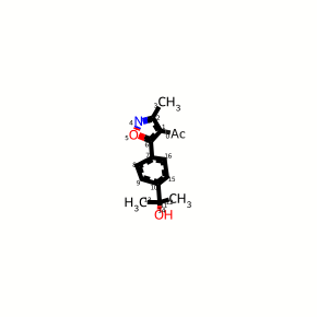 CC(=O)c1c(C)noc1-c1ccc(C(C)(C)O)cc1